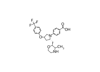 CC1NCCO[C@H]1C[C@@H]1C[C@@H](Oc2ccc(C(F)(F)F)cc2)CN1c1ccc(C(=O)O)cc1